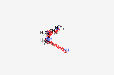 COc1cc2c(cc1OCCCCCOc1cc3c(cc1OC)C(=O)N1C=C(C)C[C@H]1[C@H](O)N3C(=O)OCc1ccc(NC(=O)C(C)NC(=O)[C@@H](NC(=O)CCOCCOCCOCCOCCOCCOCCOCCOCCNC(=O)CBr)C(C)C)cc1)N=C[C@@H]1CC(C)=CN1C2=O